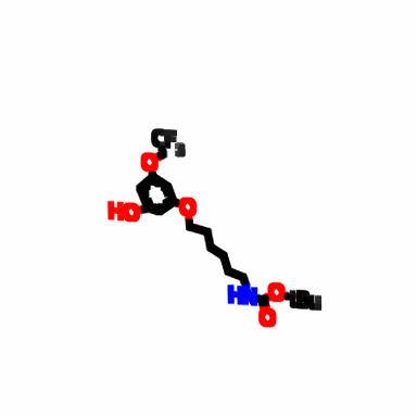 CC(C)(C)OC(=O)NCCCCCCOc1cc(O)cc(OCC(F)(F)F)c1